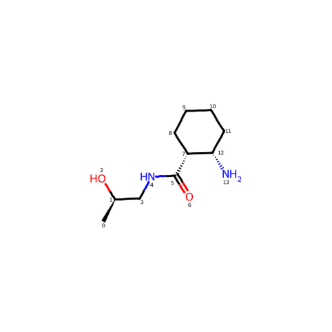 C[C@@H](O)CNC(=O)[C@@H]1CCCC[C@@H]1N